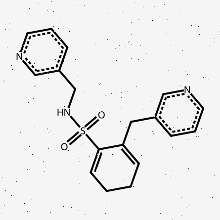 O=S(=O)(NCc1cccnc1)C1=CC[CH]C=C1Cc1cccnc1